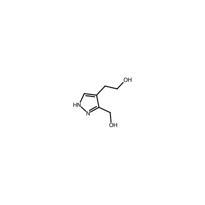 OCCc1c[nH]nc1CO